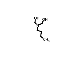 CCCCN(CO)CO